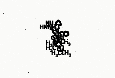 Cc1c(C)c(S(=O)(=O)NC(=O)C(CCCNC(=N)N)N(C(=O)Cc2ccccc2)C(=O)Cc2ccccc2)c(C)c2c1OC(C)(C)CC2